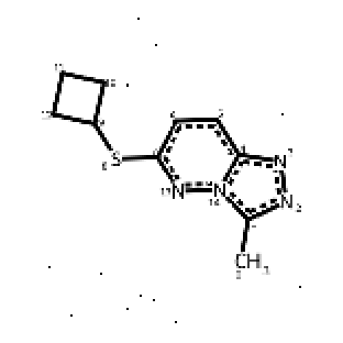 Cc1nnc2ccc(SC3CCC3)nn12